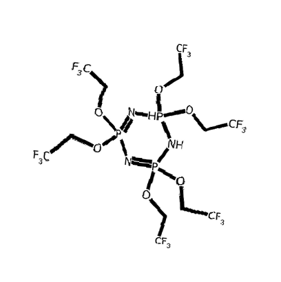 FC(F)(F)COP1(OCC(F)(F)F)=N[PH](OCC(F)(F)F)(OCC(F)(F)F)NP(OCC(F)(F)F)(OCC(F)(F)F)=N1